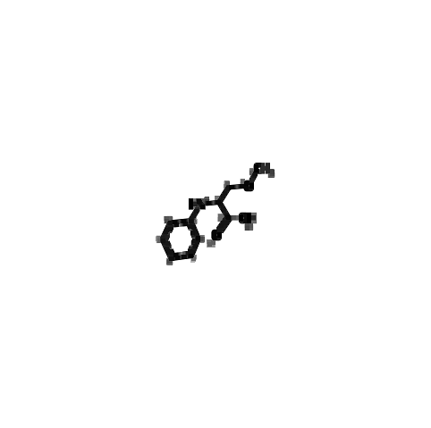 COCC(Nc1ccccc1)C(=O)O